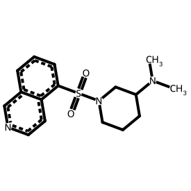 CN(C)C1CCCN(S(=O)(=O)c2cccc3cnccc23)C1